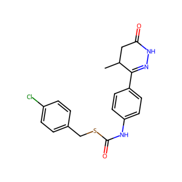 CC1CC(=O)NN=C1c1ccc(NC(=O)SCc2ccc(Cl)cc2)cc1